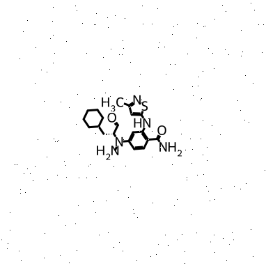 Cc1cc(Nc2cc(N(N)[C@@H](C=O)CC3CCCCC3)ccc2C(N)=O)sn1